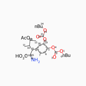 CCCCOC(=O)Oc1ccc(C(C(C)C(C)OC(C)=O)[C@H](N)C(=O)O)cc1OC(=O)OCCCC